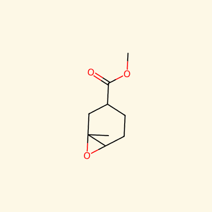 COC(=O)C1CCC2OC2(C)C1